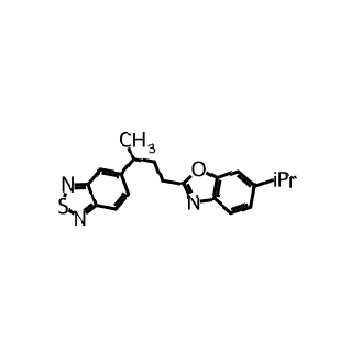 CC(C)c1ccc2nc(CCC(C)c3ccc4nsnc4c3)oc2c1